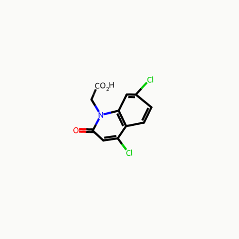 O=C(O)Cn1c(=O)cc(Cl)c2ccc(Cl)cc21